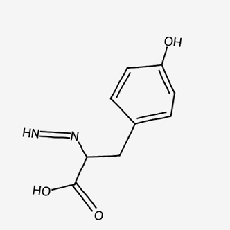 N=NC(Cc1ccc(O)cc1)C(=O)O